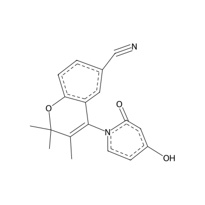 CC1=C(n2ccc(O)cc2=O)c2cc(C#N)ccc2OC1(C)C